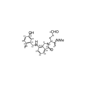 C=C(NC)C(CCC=O)N1Cc2c(NCc3cc(O)ccc3F)cccc2C1=O